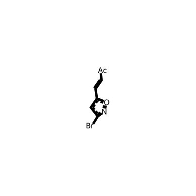 CC(=O)C=Cc1cc(Br)no1